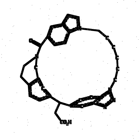 O=C(O)CC1c2ccc3c(c2)CN(CC3)C(=O)c2ccc3c(ccn3CCCCCCn3nnc4cc1ccc43)c2